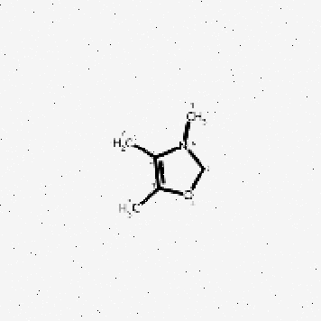 [CH2]C1=C(C)OCN1C